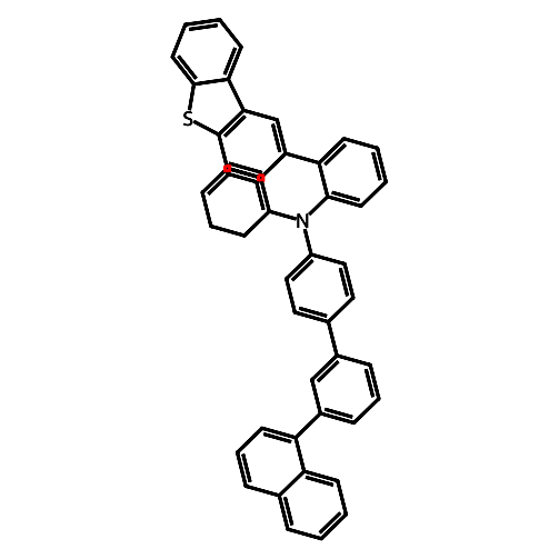 c1c(-c2ccccc2N(C2=CC=CCC2)c2ccc(-c3cccc(-c4cccc5ccccc45)c3)cc2)cc2c(c#1)sc1ccccc12